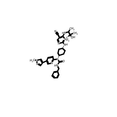 CC(Nc1nc(N[C@H]2CC[C@@H](N(C(=O)NCc3ccccc3)c3ccc(-c4cnn(C)c4)cn3)CC2)ncc1C#N)C(C)(C)O